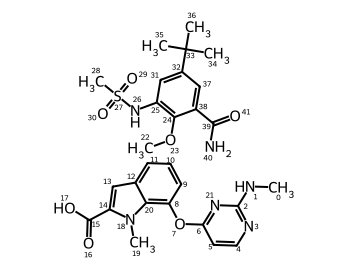 CNc1nccc(Oc2cccc3cc(C(=O)O)n(C)c23)n1.COc1c(NS(C)(=O)=O)cc(C(C)(C)C)cc1C(N)=O